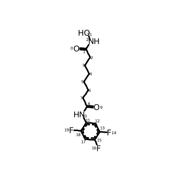 O=C(CCCCCCC(=O)Nc1cc(F)c(F)cc1F)NO